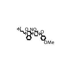 COc1ccc(C(=O)N2CCN(c3c([N+](=O)[O-])c(=O)n(CCCN(C)C)c4ccccc34)CC2)cc1